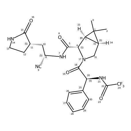 CC1(C)[C@@H]2[C@@H](C(=O)N[C@H](C#N)C[C@@H]3CCNC3=O)N(C(=O)[C@@H](NC(=O)C(F)(F)F)c3ccccc3)C[C@@H]21